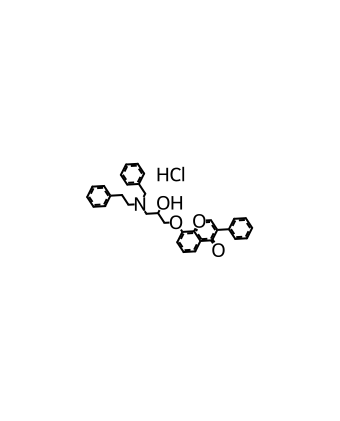 Cl.O=c1c(-c2ccccc2)coc2c(OCC(O)CN(CCc3ccccc3)Cc3ccccc3)cccc12